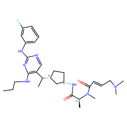 CCCNc1nc(Nc2cccc(F)c2)ncc1C(C)[C@@H]1CC[C@H](NC(=O)[C@H](C)N(C)C(=O)/C=C/CN(C)C)C1